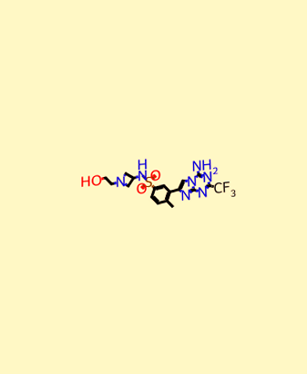 Cc1ccc(S(=O)(=O)NC2CN(CCO)C2)cc1-c1cn2c(N)nc(C(F)(F)F)nc2n1